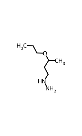 CCCOC(C)CCNN